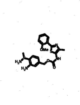 COc1ccccc1-c1nc(C)c(NC(=O)OCc2ccc(N(C)N)c(N)c2)s1